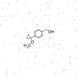 COC1(c2ccc(CO)cc2)CC1